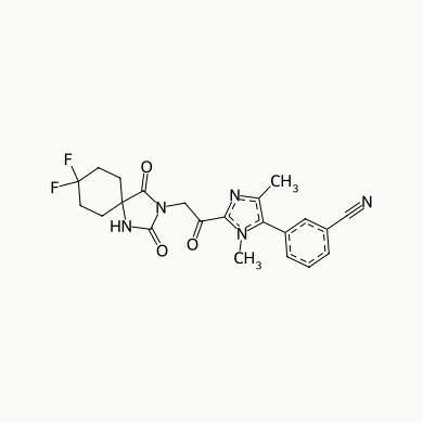 Cc1nc(C(=O)CN2C(=O)NC3(CCC(F)(F)CC3)C2=O)n(C)c1-c1cccc(C#N)c1